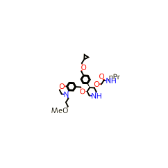 CCCNC(=O)CO[C@@H]1CNC[C@H](OCc2ccc3c(c2)N(CCCOC)CCO3)[C@H]1c1ccc(COCC2CC2)cc1